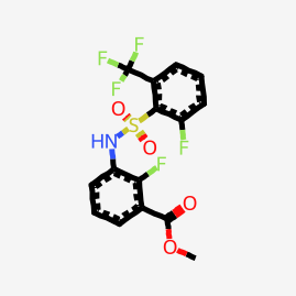 COC(=O)c1cccc(NS(=O)(=O)c2c(F)cccc2C(F)(F)F)c1F